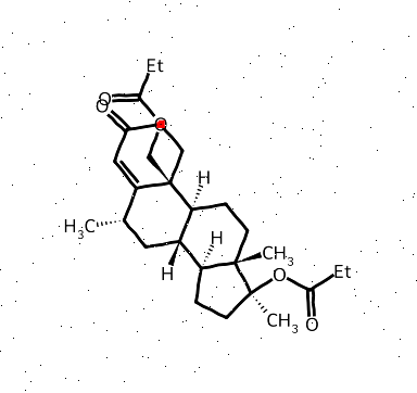 CCC(=O)OC[C@]12CCC(=O)C=C1[C@@H](C)C[C@@H]1[C@@H]2CC[C@@]2(C)[C@H]1CC[C@]2(C)OC(=O)CC